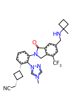 Cn1cn[n+](-c2c(N3Cc4c(cc(CNC5(C)CCC5)cc4C(F)(F)F)C3=O)cccc2[C@H]2C[C@@H](CC#N)C2)c1